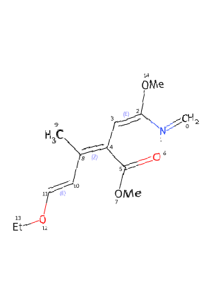 C=N\C(=C/C(C(=O)OC)=C(C)/C=C/OCC)OC